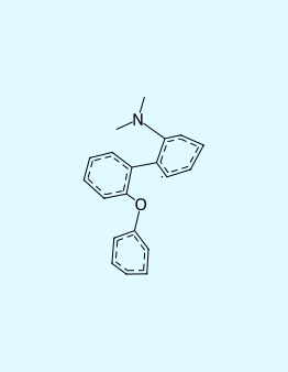 CN(C)c1ccc[c]c1-c1ccccc1Oc1ccccc1